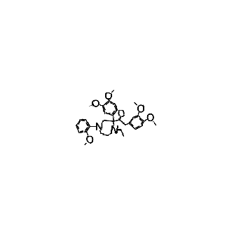 CCN1CCN(c2ccccc2OC)CC1(C(=O)Cc1ccc(OC)c(OC)c1)c1ccc(OC)c(OC)c1